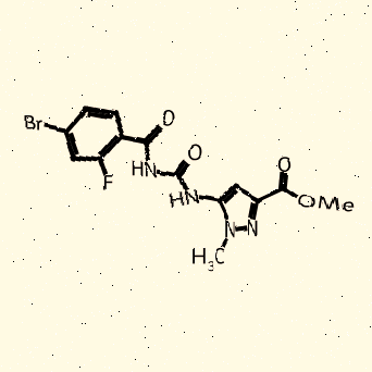 COC(=O)c1cc(NC(=O)NC(=O)c2ccc(Br)cc2F)n(C)n1